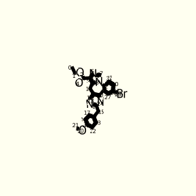 CCOC(=O)c1ncn2c1Cc1cnc(Cc3ccc(OC)cc3)nc1-c1cc(Br)ccc1-2